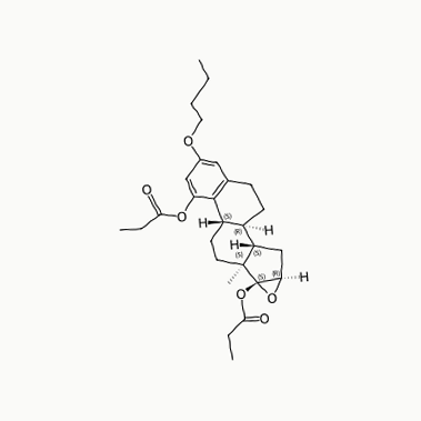 CCCCOc1cc2c(c(OC(=O)CC)c1)[C@H]1CC[C@@]3(C)[C@@H](C[C@H]4O[C@@]43OC(=O)CC)[C@@H]1CC2